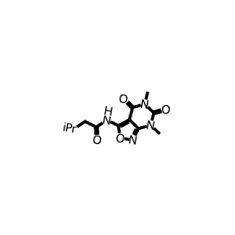 CC(C)CC(=O)Nc1onc2c1c(=O)n(C)c(=O)n2C